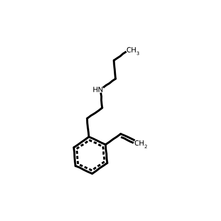 C=Cc1ccccc1CCNCCC